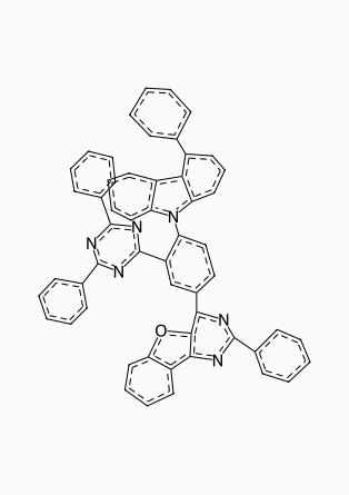 c1ccc(-c2nc(-c3ccccc3)nc(-c3cc(-c4nc(-c5ccccc5)nc5c4oc4ccccc45)ccc3-n3c4ccccc4c4c(-c5ccccc5)cccc43)n2)cc1